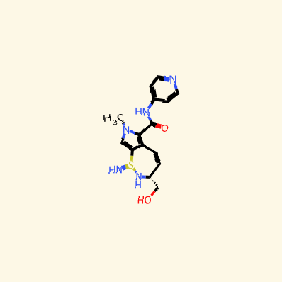 Cn1cc2c(c1C(=O)Nc1ccncc1)C=C[C@H](CO)NS2=N